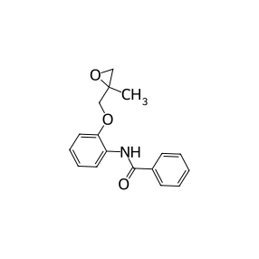 CC1(COc2ccccc2NC(=O)c2ccccc2)CO1